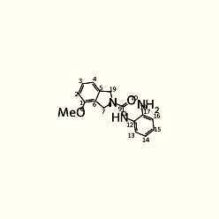 COc1cccc2c1CN(C(=O)Nc1ccccc1N)C2